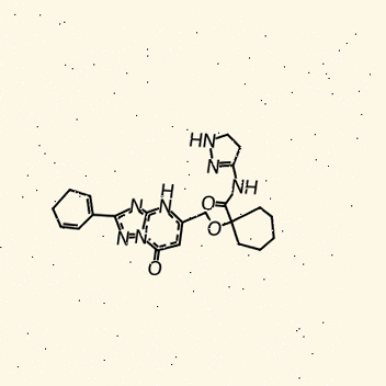 O=C(NC1=NNCC1)C1(OCc2cc(=O)n3nc(C4=CCCC=C4)nc3[nH]2)CCCCC1